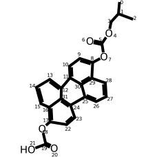 CC(C)COC(=O)Oc1ccc2c3cccc4c(OC(=O)O)ccc(c5cccc1c52)c43